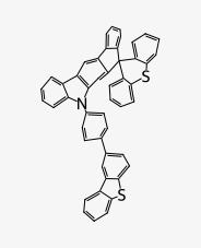 c1ccc2c(c1)Sc1ccccc1C21c2ccccc2-c2cc3c4ccccc4n(-c4ccc(-c5ccc6sc7ccccc7c6c5)cc4)c3cc21